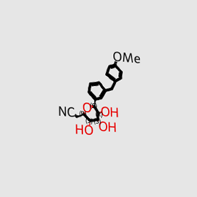 COc1ccc(Cc2cccc([C@@H]3O[C@H](CC#N)[C@@H](O)[C@H](O)[C@H]3O)c2)cc1